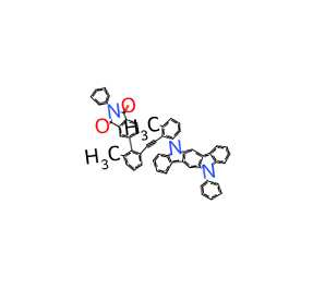 Cc1cccc(-n2c3ccccc3c3cc4c(cc32)c2ccccc2n4-c2ccccc2)c1C#Cc1cccc(C)c1-c1ccc2c(c1)C(=O)N(c1ccccc1)C2=O